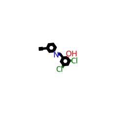 C#Cc1cccc(/N=C/c2cc(Cl)cc(Cl)c2O)c1